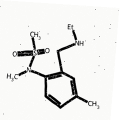 CCNCc1cc(C)ccc1N(C)S(C)(=O)=O